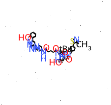 Cc1ncsc1-c1ccc(CNC(=O)[C@@H]2C[C@@H](O)CN2C(=O)[C@@H](NC(=O)CCCC(=O)NC2CCN(c3cc(-c4ccccc4O)nnc3N)CC2)C(C)(C)C)cc1